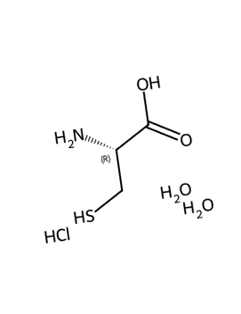 Cl.N[C@@H](CS)C(=O)O.O.O